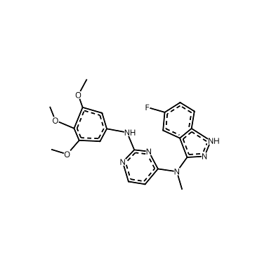 COc1cc(Nc2nccc(N(C)c3n[nH]c4ccc(F)cc34)n2)cc(OC)c1OC